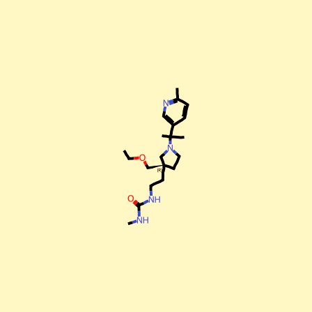 CCOC[C@]1(CCNC(=O)NC)CCN(C(C)(C)c2ccc(C)nc2)C1